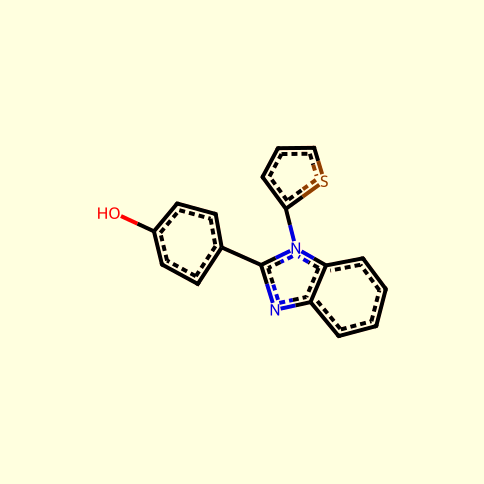 Oc1ccc(-c2nc3ccccc3n2-c2cccs2)cc1